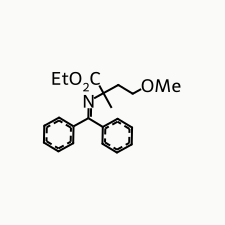 CCOC(=O)C(C)(CCOC)N=C(c1ccccc1)c1ccccc1